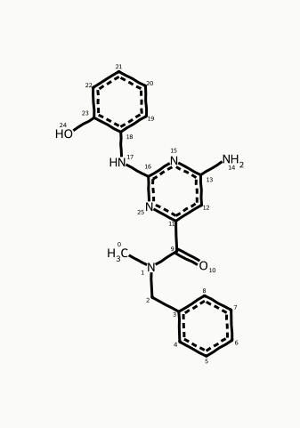 CN(Cc1ccccc1)C(=O)c1cc(N)nc(Nc2ccccc2O)n1